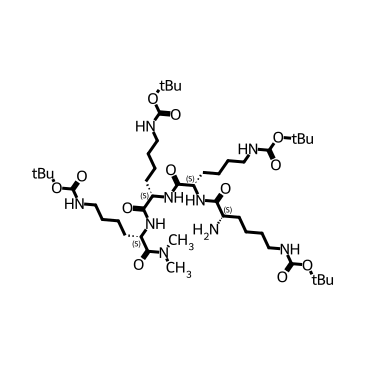 CN(C)C(=O)[C@H](CCCCNC(=O)OC(C)(C)C)NC(=O)[C@H](CCCCNC(=O)OC(C)(C)C)NC(=O)[C@H](CCCCNC(=O)OC(C)(C)C)NC(=O)[C@@H](N)CCCCNC(=O)OC(C)(C)C